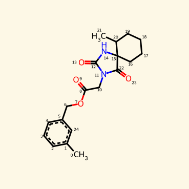 Cc1cccc(COC(=O)CN2C(=O)NC3(CCCCC3C)C2=O)c1